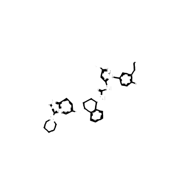 CC(C)(C)c1cc(NC(=O)N[C@H]2CC[C@@H](Oc3ccc4nnc(N5CCCCC5)n4c3)c3ccccc32)n(-c2ccc(Cl)c(CCO)c2)n1